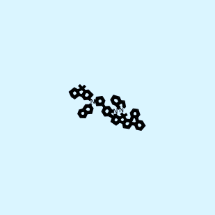 CC1(C)c2ccccc2-c2cc(N(c3cccc(-c4ccc5c6ccc7c(c6n(-c6nccc8ccccc68)c5c4)C(C)(C)c4c-7ccc5c6ccccc6c6ccccc6c45)c3)c3ccc4ccccc4c3)ccc21